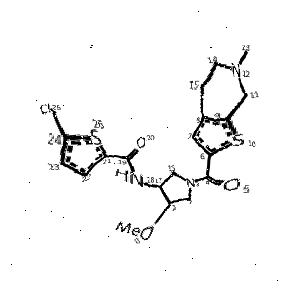 COC1CN(C(=O)c2cc3c(s2)CN(C)CC3)CC1NC(=O)c1ccc(Cl)s1